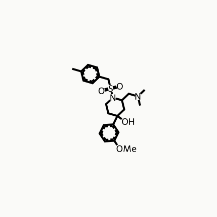 COc1cccc(C2(O)CCN(S(=O)(=O)Cc3ccc(C)cc3)C(CN(C)C)C2)c1